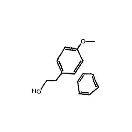 COc1ccc(CCO)cc1.c1ccccc1